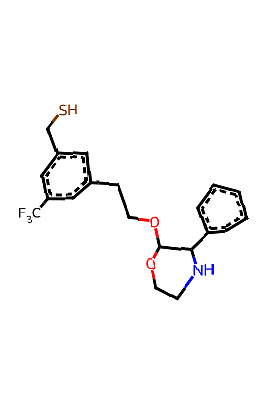 FC(F)(F)c1cc(CS)cc(CCOC2OCCNC2c2ccccc2)c1